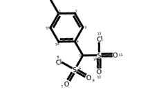 Cc1ccc(C(S(=O)(=O)Cl)S(=O)(=O)Cl)cc1